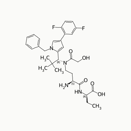 CC[C@@H](NC(=O)[C@@H](N)CCN(C(=O)CO)[C@@H](c1cc(-c2cc(F)ccc2F)cn1Cc1ccccc1)C(C)(C)C)C(=O)O